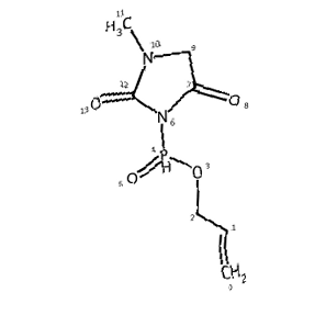 C=CCO[PH](=O)N1C(=O)CN(C)C1=O